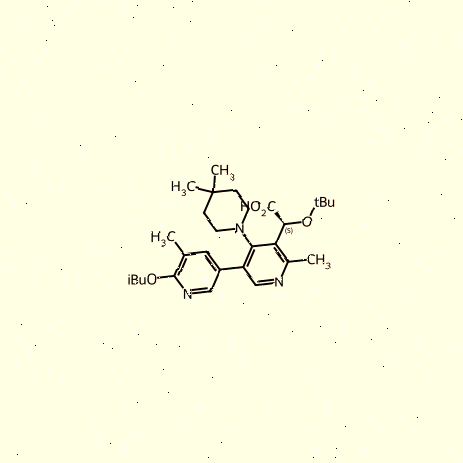 Cc1cc(-c2cnc(C)c([C@H](OC(C)(C)C)C(=O)O)c2N2CCC(C)(C)CC2)cnc1OCC(C)C